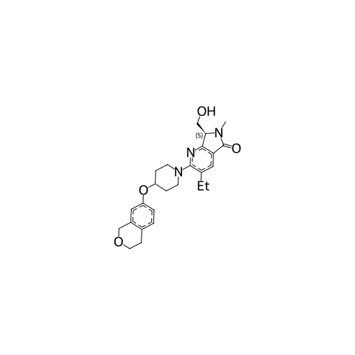 CCc1cc2c(nc1N1CCC(Oc3ccc4c(c3)COCC4)CC1)[C@@H](CO)N(C)C2=O